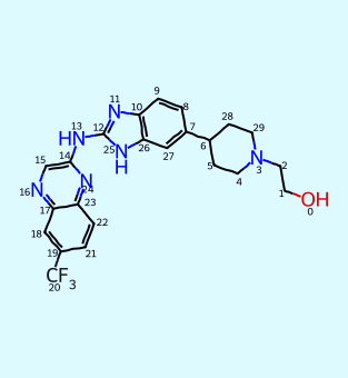 OCCN1CCC(c2ccc3nc(Nc4cnc5cc(C(F)(F)F)ccc5n4)[nH]c3c2)CC1